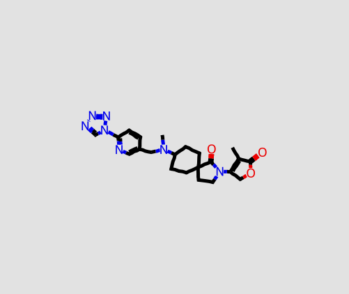 CC1=C(N2CCC3(CCC(N(C)Cc4ccc(-n5cnnn5)nc4)CC3)C2=O)COC1=O